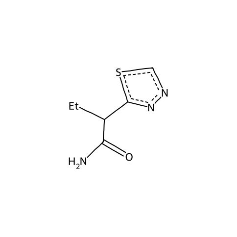 CCC(C(N)=O)c1nncs1